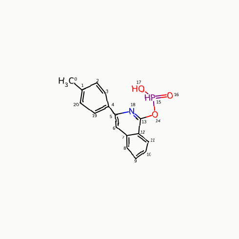 Cc1ccc(-c2cc3ccccc3c(O[PH](=O)O)n2)cc1